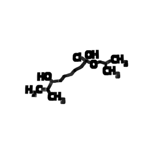 C=C(C)C(O)CCCCCC(O)(Cl)OCC(C)C